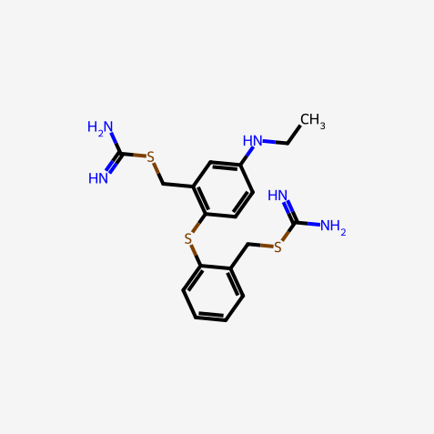 CCNc1ccc(Sc2ccccc2CSC(=N)N)c(CSC(=N)N)c1